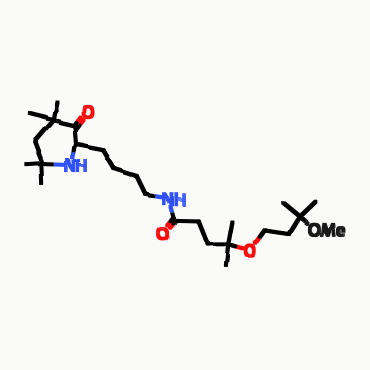 COC(C)(C)CCOC(C)(C)CCC(=O)NCCCCC1NC(C)(C)CC(C)(C)C1=O